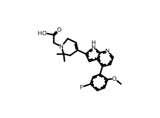 COc1ccc(F)cc1-c1ccnc2[nH]c(C3=CCN(CC(=O)O)C(C)(C)C3)cc12